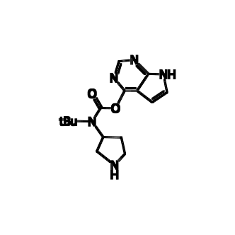 CC(C)(C)N(C(=O)Oc1ncnc2[nH]ccc12)C1CCNC1